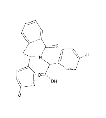 O=C(O)C(c1ccc(Cl)cc1)N1C(=O)c2ccccc2CC1c1ccc(Cl)cc1